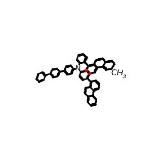 CC1C=c2c(ccc3c(-c4ccccc4N(c4ccc(-c5ccc(-c6ccccc6)cc5)cc4)c4ccc(-c5cccc6c5ccc5ccccc56)cc4)cccc23)=CC1